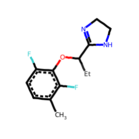 CCC(Oc1c(F)ccc(C)c1F)C1=NCCN1